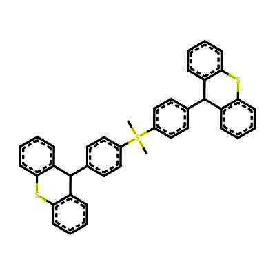 CS(C)(c1ccc(C2c3ccccc3Sc3ccccc32)cc1)c1ccc(C2c3ccccc3Sc3ccccc32)cc1